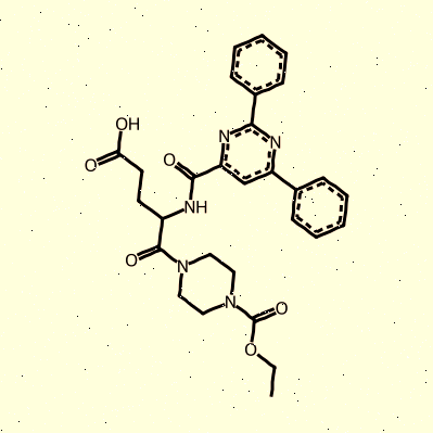 CCOC(=O)N1CCN(C(=O)C(CCC(=O)O)NC(=O)c2cc(-c3ccccc3)nc(-c3ccccc3)n2)CC1